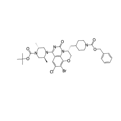 C[C@@H]1CN(c2nc(=O)n3c4c(c(Br)c(Cl)cc24)OC[C@H]3CC2CCN(C(=O)OCc3ccccc3)CC2)[C@@H](C)CN1C(=O)OC(C)(C)C